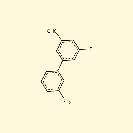 O=Cc1cc(F)cc(-c2cccc(C(F)(F)F)c2)c1